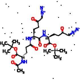 CC(=O)N[C@@H](CCC(=O)N[C@@H](CCC(=O)C=[N+]=[N-])C(=O)N[C@@H](CCC(=O)C=[N+]=[N-])C(=O)OC(C)(C)C)C(=O)OC(C)(C)C